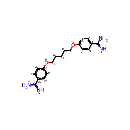 C=C(/C=C\C(=C/C)C(=N)N)OCCCCCOc1ccc(C(=N)N)cc1